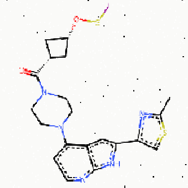 Cc1nc(-c2cc3c(N4CCN(C(=O)[C@H]5C[C@@H](OSI)C5)CC4)ccnc3[nH]2)cs1